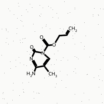 C=CCOC(=O)n1cc(C)c(N)nc1=O